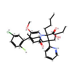 CCCCC(CCCC)(c1ccccn1)C(CCCC)(C(=O)O)n1cc(OC)c(-c2cc(Cl)ccc2F)cc1=O